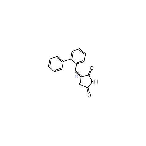 O=C1NC(=O)/C(=C\c2ccccc2-c2ccccc2)S1